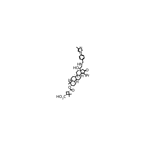 Cc1cn(-c2ccc(CNC[C@H](O)[C@@]34CC[C@]5(C)[C@H](CC[C@@H]6[C@@]7(C)CC[C@H](OC(=O)[C@H]8C[C@@H](C(=O)O)C8(C)C)C(C)(C)[C@@H]7CC[C@]65C)C3=C(C(C)C)C(=O)C4)cc2)cn1